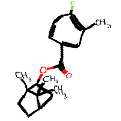 Cc1cc(C(=O)OC2CC3CCC2(C)C3(C)C)ccc1F